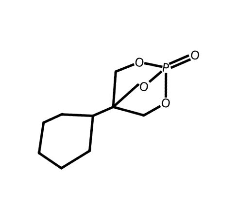 O=P12OCC(C3CCCCC3)(CO1)CO2